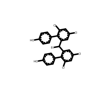 CCC(c1cc(Cl)cc(Cl)c1-c1ccc(O)cc1)c1cc(Cl)cc(Cl)c1-c1ccc(O)cc1